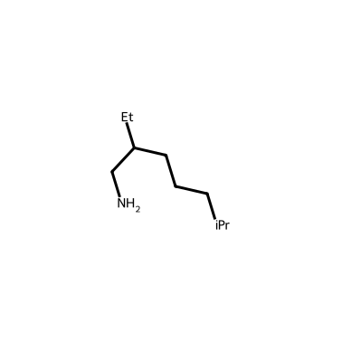 CCC(CN)CCCC(C)C